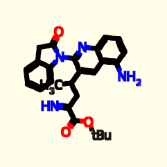 CC(CC(=N)C(=O)OC(C)(C)C)c1cc2c(N)cccc2nc1N1C(=O)Cc2ccccc21